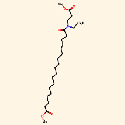 CC(C)(C)OC(=O)CCCCCCCCCCCCCCCCC(=O)N(CCC(=O)OC(C)(C)C)CC(=O)O